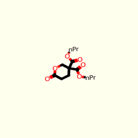 CCCOC(=O)C1(C(=O)OCCC)CCC(=O)OC1